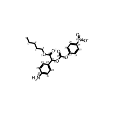 CCCCCOC(=O)C(OC(=O)Oc1ccc([N+](=O)[O-])cc1)c1ccc(N)cc1